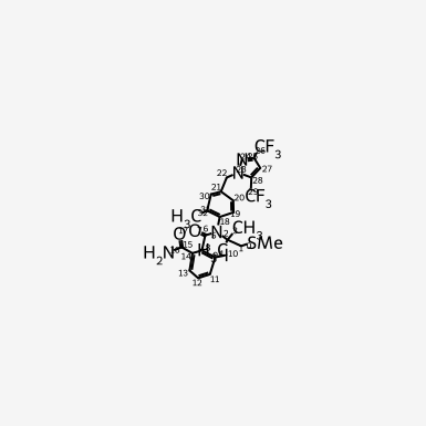 CSCC(C)(C)N(C(=O)c1c(I)cccc1C(N)=O)c1ccc(Cn2nc(C(F)(F)F)cc2C(F)(F)F)cc1C